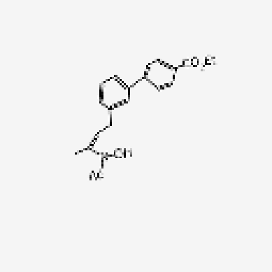 CCOC(=O)c1ccc(-c2cccc(CC=C(C)N(O)C(C)=O)c2)cc1